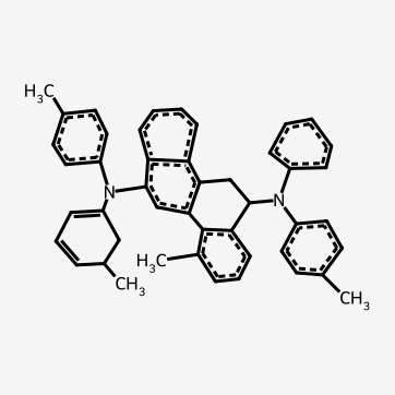 Cc1ccc(N(C2=CC=CC(C)C2)c2cc3c(c4ccccc24)CC(N(c2ccccc2)c2ccc(C)cc2)c2cccc(C)c2-3)cc1